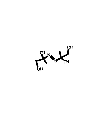 CC(C#N)(CO)N=NC(C)(C#N)CO